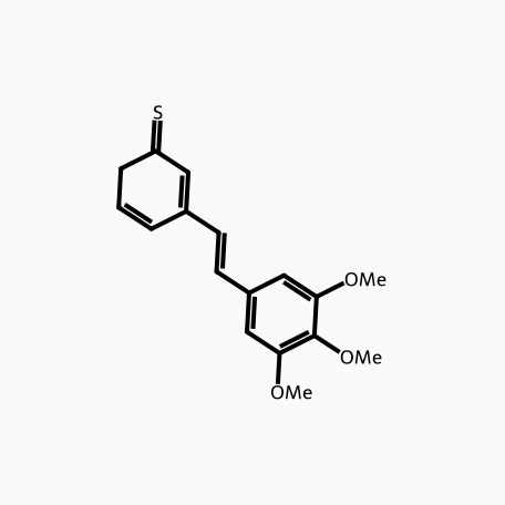 COc1cc(C=CC2=CC(=S)CC=C2)cc(OC)c1OC